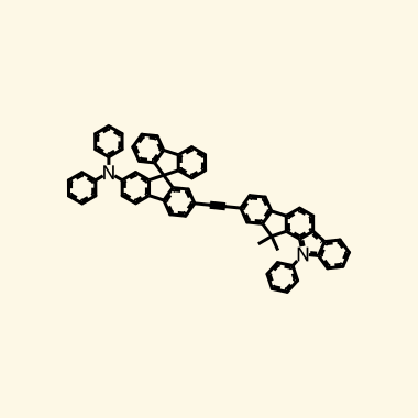 CC1(C)c2cc(C#Cc3ccc4c(c3)C3(c5ccccc5-c5ccccc53)c3cc(N(c5ccccc5)c5ccccc5)ccc3-4)ccc2-c2ccc3c4ccccc4n(-c4ccccc4)c3c21